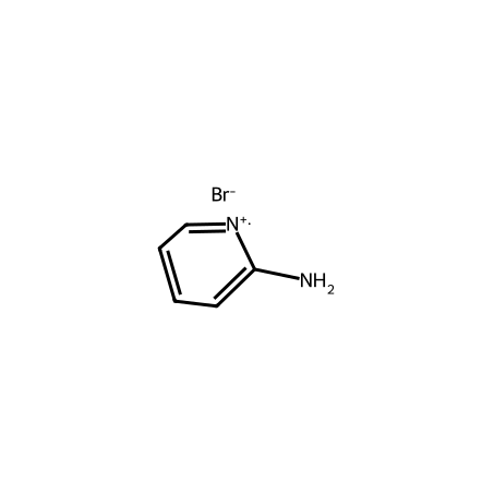 NC1=CC=CC=[N+]1.[Br-]